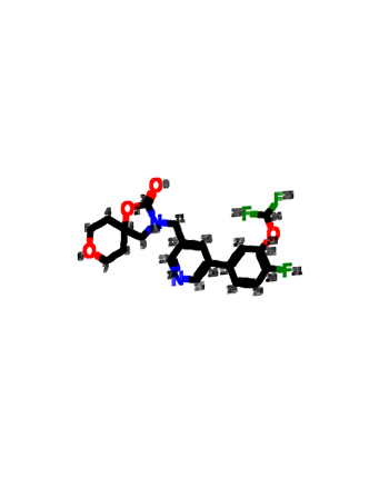 O=C1OC2(CCOCC2)CN1Cc1cncc(-c2ccc(F)c(OC(F)F)c2)c1